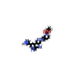 Cn1cc(-c2cc(-c3ccc(N4CC5(CCCN(C(=O)OC(C)(C)C)C5)C4)nc3)c3c(C#N)cnn3c2)cn1